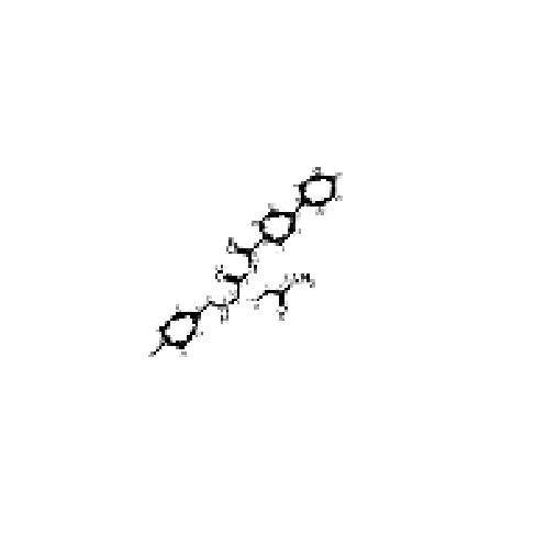 Cc1ccc(CN[C@@H](CCC(N)=O)C(=O)OC(=O)c2ccc(-c3ccccc3)cc2)cc1